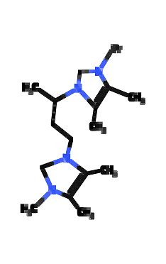 CC1=C(C)N(CCC(C)N2CN(C(C)C)C(C)=C2C)CN1C